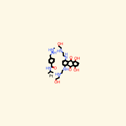 CNNCc1ccc(C(=O)NC(C)C)cc1.O=C1c2c(O)ccc(O)c2C(=O)c2c(NCCNCCO)ccc(NCCNCCO)c21.[Pt]